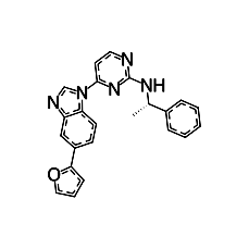 C[C@H](Nc1nccc(-n2cnc3cc(-c4ccco4)ccc32)n1)c1ccccc1